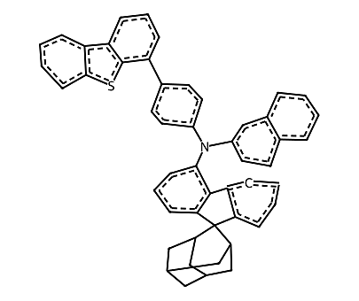 c1ccc2c(c1)-c1c(N(c3ccc(-c4cccc5c4sc4ccccc45)cc3)c3ccc4ccccc4c3)cccc1C21C2CC3CC(C2)CC1C3